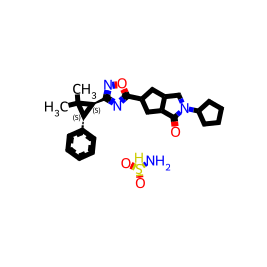 CC1(C)[C@@H](c2ccccc2)[C@@H]1c1noc(C2CC3CN(C4CCCC4)C(=O)C3C2)n1.N[SH](=O)=O